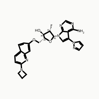 Nc1ncnc2c1c(-n1cccn1)cn2[C@@H]1O[C@H](COc2ccc3ccc(N4CCC4)nc3c2)[C@@H](O)[C@@H]1F